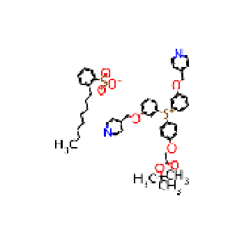 CC(C)(C)OC(=O)COc1ccc([S+](c2cccc(OCc3ccncc3)c2)c2cccc(OCc3ccncc3)c2)cc1.CCCCCCCCc1ccccc1S(=O)(=O)[O-]